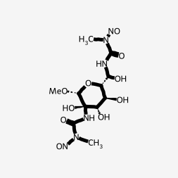 CO[C@@H]1O[C@H](C(O)NC(=O)N(C)N=O)[C@@H](O)[C@H](O)[C@]1(O)NC(=O)N(C)N=O